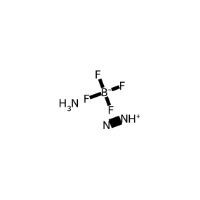 F[B-](F)(F)F.N.N#[NH+]